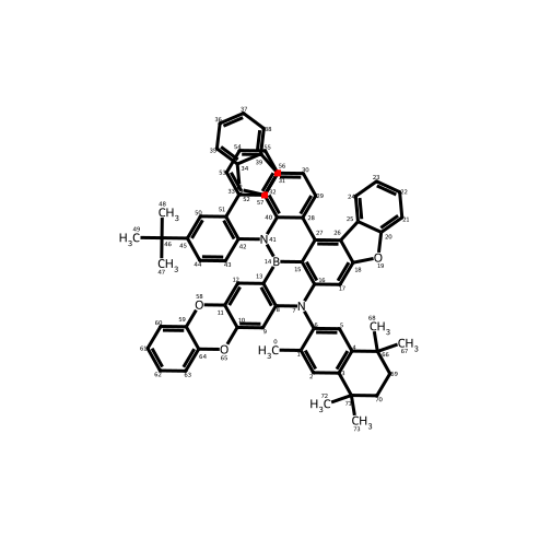 Cc1cc2c(cc1N1c3cc4c(cc3B3c5c1cc1oc6ccccc6c1c5-c1ccc5c(sc6ccccc65)c1N3c1ccc(C(C)(C)C)cc1-c1ccccc1)Oc1ccccc1O4)C(C)(C)CCC2(C)C